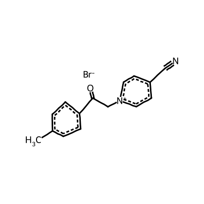 Cc1ccc(C(=O)C[n+]2ccc(C#N)cc2)cc1.[Br-]